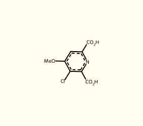 COc1cc(C(=O)O)nc(C(=O)O)c1Cl